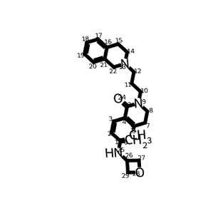 C=C(/C=C\C1=C(C)CCN(CCCN2CCc3ccccc3C2)C1=O)NC1COC1